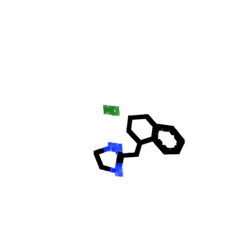 Cl.c1ccc2c(c1)CCCC2CC1=NCCN1